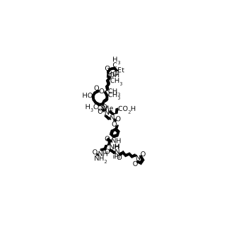 CC[C@H](O)[C@@H](C)[C@H]1O[C@@H]1CC(C)(O)/C=C/C=C(\C)[C@H]1OC(=O)C[C@H](O)CC[C@@](C)(OC)[C@@H](OC(=O)N2CCN(C(=O)OCc3ccc(NC(=O)[C@H](CCCNC(N)=O)NC(=O)[C@@H](NC(=O)CCCCCN4C(=O)C=CC4=O)C(C)C)cc3)[C@H](CCC(=O)O)C2)/C=C/[C@@H]1C